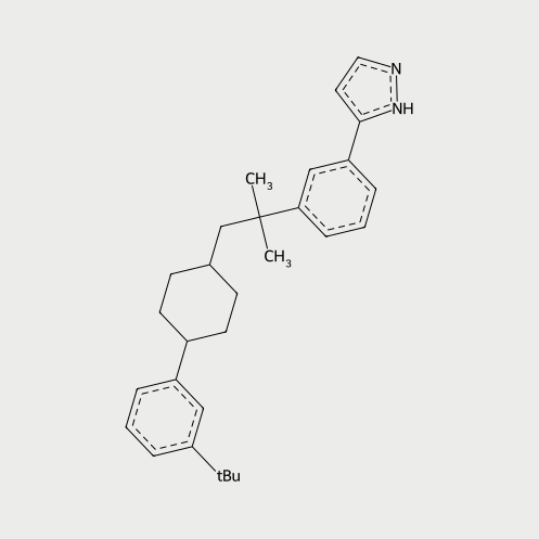 CC(C)(C)c1cccc(C2CCC(CC(C)(C)c3cccc(-c4ccn[nH]4)c3)CC2)c1